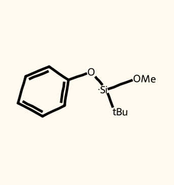 CO[Si](Oc1ccccc1)C(C)(C)C